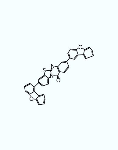 O=c1c2ccc(-c3ccc4oc5ccccc5c4c3)cc2nc2sc3cc(-c4cccc5oc6ccccc6c45)ccc3n12